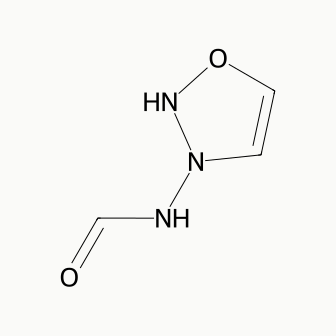 O=CNN1C=CON1